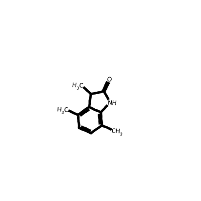 Cc1ccc(C)c2c1NC(=O)C2C